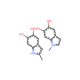 Cc1cc2cc(O)c(O)cc2[nH]1.Cn1ccc2cc(O)c(O)cc21